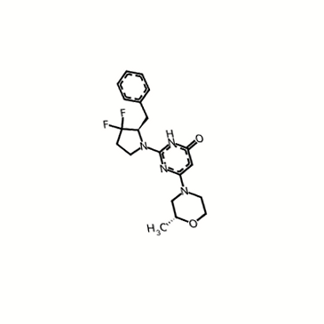 C[C@@H]1CN(c2cc(=O)[nH]c(N3CCC(F)(F)[C@H]3Cc3ccccc3)n2)CCO1